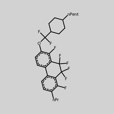 CCCCCC1CCC(C(F)(F)Oc2ccc3c(c2F)C(F)(F)C(F)(F)c2c-3ccc(CCC)c2F)CC1